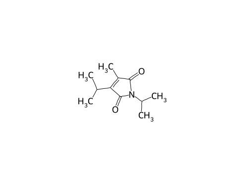 CC1=C(C(C)C)C(=O)N(C(C)C)C1=O